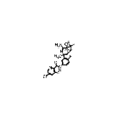 C[C@@]1(c2cc(NC(=O)c3ncc(Cl)cc3F)ccc2F)CO[C@@](C)(C(F)(F)F)C(N)=N1